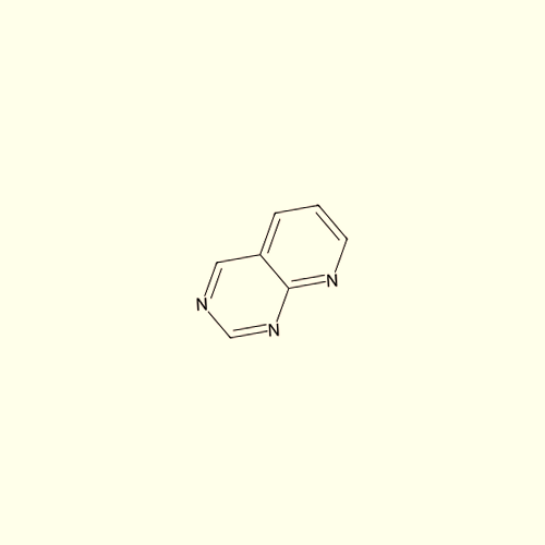 c1cnc2ncncc2c1